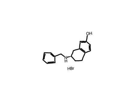 Br.Oc1ccc2c(c1)C[C@H](NCc1ccccc1)CC2